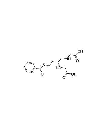 O=C(O)CNCC(CCSC(=O)c1ccccc1)NCC(=O)O